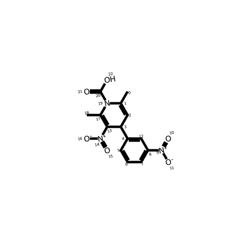 CC1=CC(c2cccc([N+](=O)[O-])c2)C([N+](=O)[O-])=C(C)N1C(=O)O